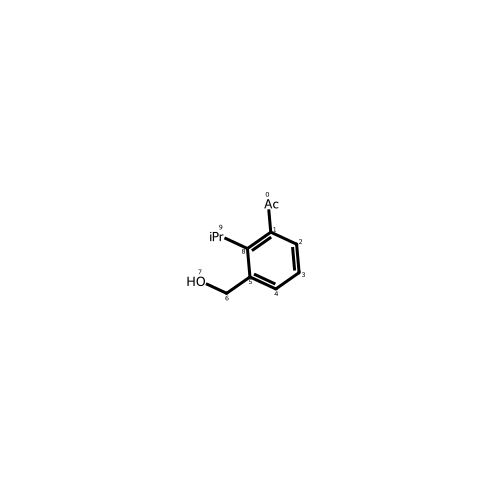 CC(=O)c1cccc(CO)c1C(C)C